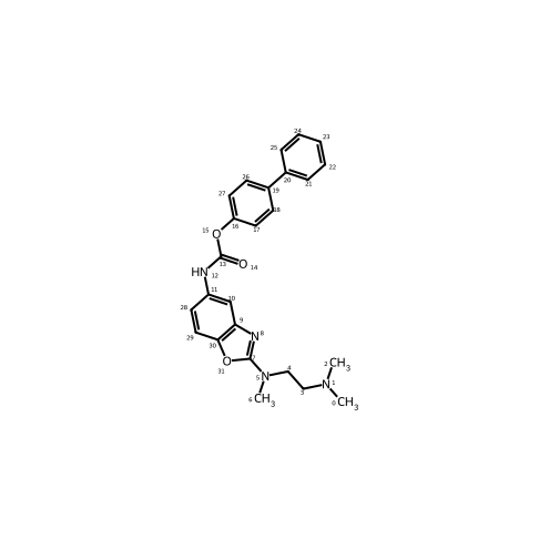 CN(C)CCN(C)c1nc2cc(NC(=O)Oc3ccc(-c4ccccc4)cc3)ccc2o1